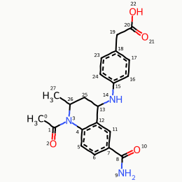 CC(=O)N1c2ccc(C(N)=O)cc2C(Nc2ccc(CC(=O)O)cc2)CC1C